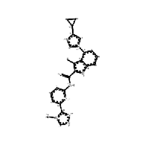 Cc1c(C(=O)Nc2cccc(-c3nncn3C(C)C)n2)oc2cccc(-n3cnc(C4CC4)c3)c12